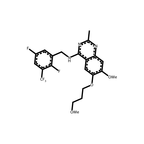 COCCCOc1cc2c(NCc3cc(F)cc(C(F)(F)F)c3F)nc(C)nc2cc1OC